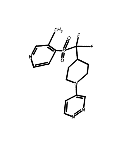 Cc1cnccc1S(=O)(=O)C(F)(F)C1CCN(c2ccnnc2)CC1